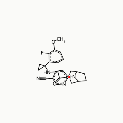 COc1cccc(C2(NCC(=O)N3CC4CCC(C3)N4c3ccc(C#N)cn3)CC2)c1F